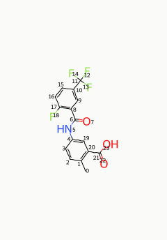 Cc1ccc(NC(=O)c2cc(C(F)(F)F)ccc2F)cc1C(=O)O